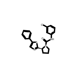 O=C(Nc1cccc(Cl)c1)N1CCC[C@H]1c1ncc(-c2ccccc2)s1